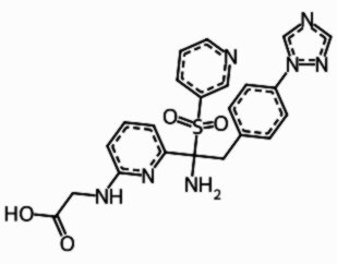 NC(Cc1ccc(-n2cncn2)cc1)(c1cccc(NCC(=O)O)n1)S(=O)(=O)c1cccnc1